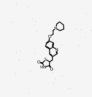 O=C1NC(=O)C(Cc2cnc3cc(OCCN4CCCCC4)ccc3c2)S1